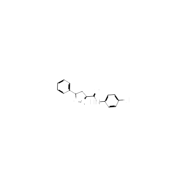 O=C(Nc1ccc(Cl)cc1)C1=NOC(c2ccccc2)C1